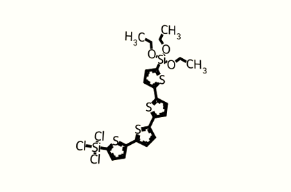 CCO[Si](OCC)(OCC)c1ccc(-c2ccc(-c3ccc(-c4ccc([Si](Cl)(Cl)Cl)s4)s3)s2)s1